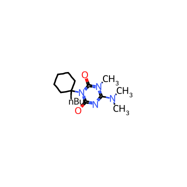 CCCCC1(n2c(=O)nc(N(C)C)n(C)c2=O)CCCCC1